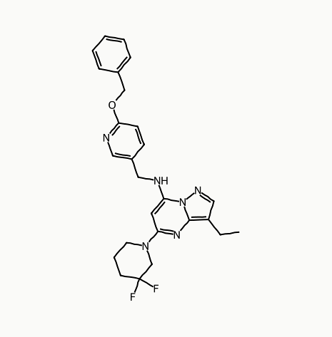 CCc1cnn2c(NCc3ccc(OCc4ccccc4)nc3)cc(N3CCCC(F)(F)C3)nc12